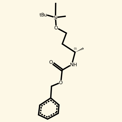 C[C@@H](CCO[Si](C)(C)C(C)(C)C)NC(=O)OCc1ccccc1